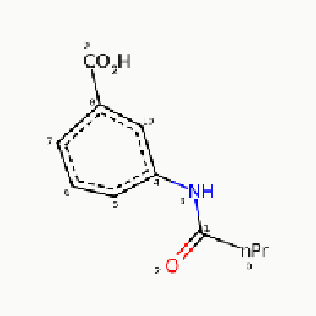 CCCC(=O)Nc1cccc(C(=O)O)c1